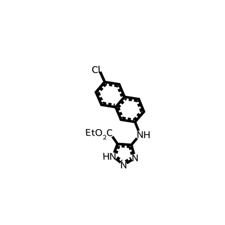 CCOC(=O)c1[nH]nnc1Nc1ccc2cc(Cl)ccc2c1